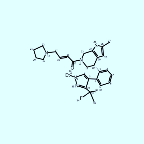 CCn1cc(-c2ccccc2[C@@H]2CN(C(=O)/C=C/CN3CCCC3)Cc3sc(C)cc32)c(C(C)(F)F)n1